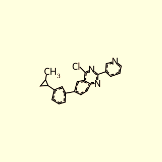 CC1CC1c1cccc(-c2ccc3nc(-c4cccnc4)nc(Cl)c3c2)c1